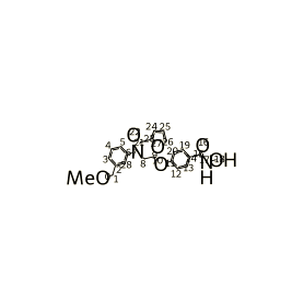 COCc1cccc(N(CCOc2ccc(C(=O)NO)cc2)C(=O)c2ccco2)c1